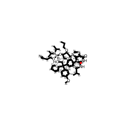 CCCO[C@@H]1[C@H](OP(=O)(OCCC#N)N(C(C)C)C(C)C)[C@@H](C(O)C(c2ccccc2)(c2ccc(OC)cc2)c2ccc(OC)cc2)O[C@H]1n1cnc2c(=O)[nH]c(NC(=O)C(C)C)nc21